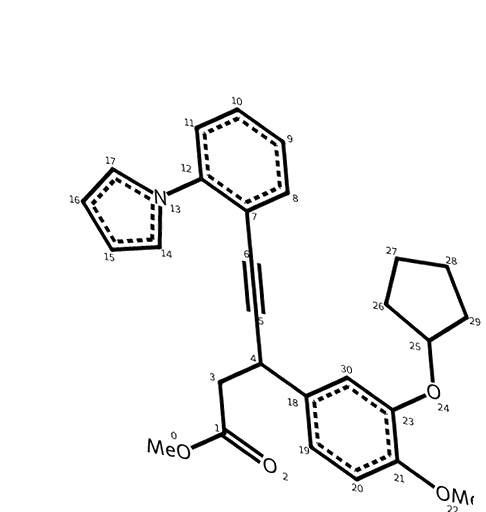 COC(=O)CC(C#Cc1ccccc1-n1cccc1)c1ccc(OC)c(OC2CCCC2)c1